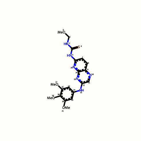 COCNC(=S)Nc1ccc2ncc(Nc3cc(OC)c(OC)c(OC)c3)nc2n1